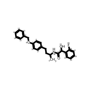 CC(CCc1ccc(OCc2ccccc2)cc1)NC(=O)C(O)c1ccccc1F